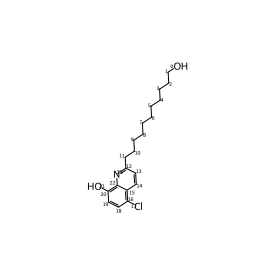 OCCCCCCCCCCCc1ccc2c(Cl)ccc(O)c2n1